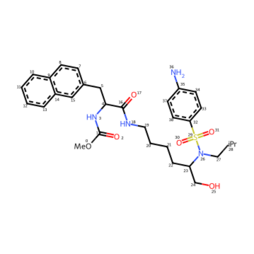 COC(=O)NC(Cc1ccc2ccccc2c1)C(=O)NCCCCC(CO)N(CC(C)C)S(=O)(=O)c1ccc(N)cc1